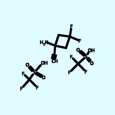 C#CC1(N)CC(F)(F)C1.O=S(=O)(O)C(F)(F)F.O=S(=O)(O)C(F)(F)F